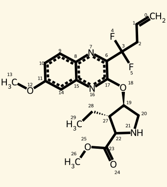 C=CCC(F)(F)c1nc2ccc(OC)cc2nc1O[C@H]1CNC(C(=O)OC)[C@@H]1CC